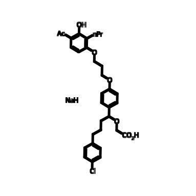 CCCc1c(OCCCOc2ccc(C(CCCc3ccc(Cl)cc3)OCC(=O)O)cc2)ccc(C(C)=O)c1O.[NaH]